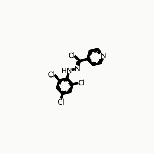 ClC(=NNc1c(Cl)cc(Cl)cc1Cl)c1ccncc1